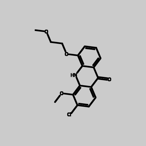 COCCOc1cccc2c(=O)c3ccc(Cl)c(OC)c3[nH]c12